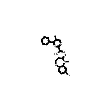 Cc1cnc(C(=O)N[C@H]2COc3ccc(Br)cc3N(C)C2=O)nc1-c1ccccc1